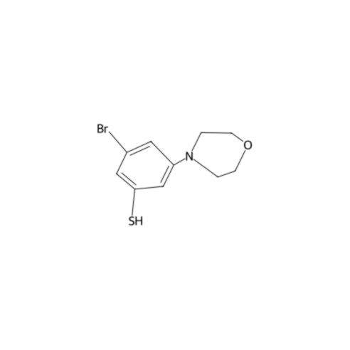 Sc1cc(Br)cc(N2CCOCC2)c1